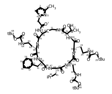 Cc1ccn(CC(=O)N[C@H]2CCNC(=O)[C@H]([C@@H](C)O)NC(=O)[C@H](CCNC(=O)OC(C)(C)C)NC(=O)[C@H](CCNC(=O)OC(C)(C)C)NC(=O)[C@H](CC(C)C)NC(=O)[C@@H](Cc3ccccc3)NC(=O)[C@H](CCNC(=O)OC(C)(C)C)NC2=O)n1